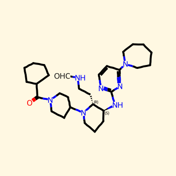 O=CNCC[C@@H]1[C@@H](Nc2nccc(N3CCCCCC3)n2)CCCN1C1CCN(C(=O)C2CCCCC2)CC1